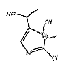 CC(O)C1=CN=C(C#N)[N+]1(C)C#N